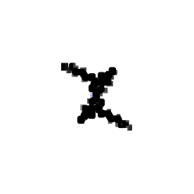 CCCCOC(=O)[C@@]1(C/C=C/C[C@]2(C(=O)OCCCC)CC(=O)O2)CC(=O)O1